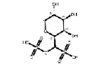 O=S(=O)(O)OC([C@H]1O[CH][C@H](O)[C@@H](O)[C@H]1O)S(=O)(=O)O